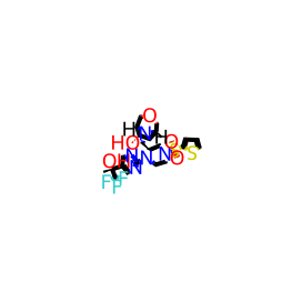 C[C@@](O)(c1cnc(N2CCN(S(=O)(=O)c3cccs3)C[C@@H]2CN2[C@@H]3COC[C@H]2[C@@H](O)C3)nc1)C(F)(F)F